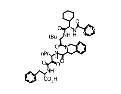 CCC[C@@H](NC(=O)C1Cc2ccccc2CN1C(=O)[C@@H](NC(=O)[C@H](NC(=O)c1cnccn1)C1CCCCC1)C(C)(C)C)C(=O)C(=O)N[C@H](Cc1ccccc1)C(=O)O